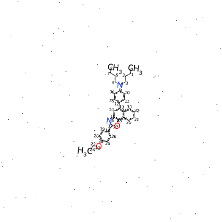 CCCCN(CCCC)c1ccc(-c2cc3nc(-c4ccc(OCC)cc4)oc3c3ccccc23)cc1